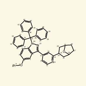 CC(C)Oc1ccc2c(c1)c(-c1ccnc(C3CC4CCC(C3)O4)c1)nn2C(c1ccccc1)(c1ccccc1)c1ccccc1